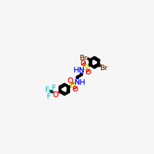 O=S(=O)(NCCNS(=O)(=O)c1cc(Br)ccc1Br)c1ccc(OC(F)(F)F)cc1